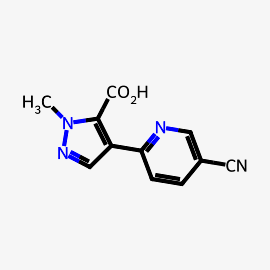 Cn1ncc(-c2ccc(C#N)cn2)c1C(=O)O